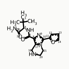 CC(C)(C)[C@H](NC(=O)c1nc(-c2ccco2)n2c1CNCC2)C(N)=O